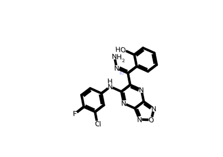 N/N=C(\c1ccccc1O)c1nc2nonc2nc1Nc1ccc(F)c(Cl)c1